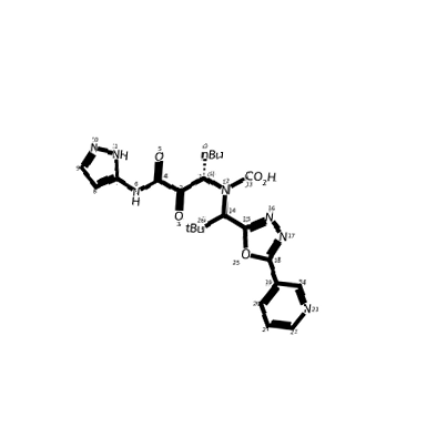 CCCC[C@@H](C(=O)C(=O)Nc1ccn[nH]1)N(C(=O)O)C(c1nnc(-c2cccnc2)o1)C(C)(C)C